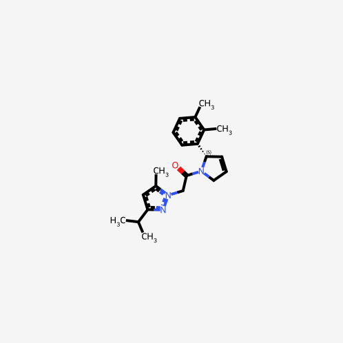 Cc1cccc([C@@H]2C=CCN2C(=O)Cn2nc(C(C)C)cc2C)c1C